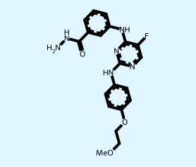 COCCOc1ccc(Nc2ncc(F)c(Nc3cccc(C(=O)NN)c3)n2)cc1